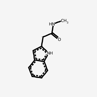 CNC(=O)[CH]c1cc2ccccc2[nH]1